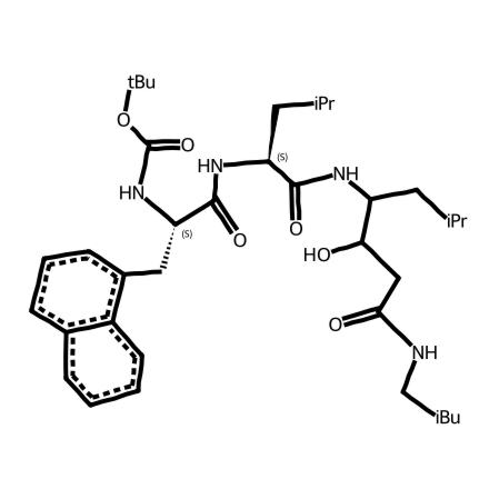 CCC(C)CNC(=O)CC(O)C(CC(C)C)NC(=O)[C@H](CC(C)C)NC(=O)[C@H](Cc1cccc2ccccc12)NC(=O)OC(C)(C)C